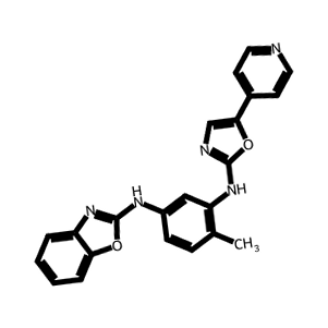 Cc1ccc(Nc2nc3ccccc3o2)cc1Nc1ncc(-c2ccncc2)o1